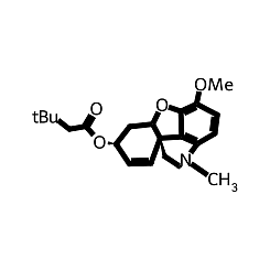 COc1ccc2c3c1OC1C[C@@H](OC(=O)CC(C)(C)C)C=C[C@@]31CCN2C